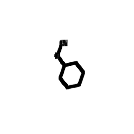 N#C[N]C1CCCCC1